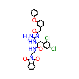 NC(=NC(=O)Cc1cccc(Oc2ccccc2)c1)NC(Cc1ccc(Cl)cc1Cl)C(=O)NCCN1C(=O)c2ccccc2C1=O